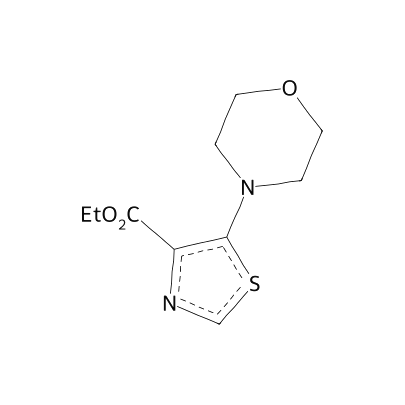 CCOC(=O)c1ncsc1N1CCOCC1